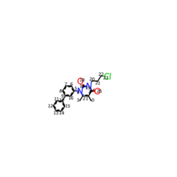 Cc1c(C)n(-c2cccc(-c3ccccc3)c2)c(=O)n(CCCCl)c1=O